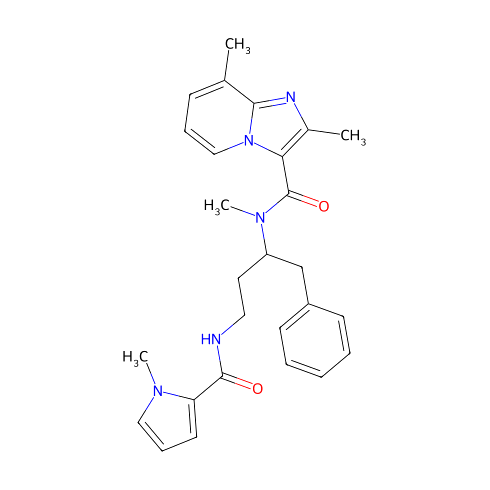 Cc1nc2c(C)cccn2c1C(=O)N(C)C(CCNC(=O)c1cccn1C)Cc1ccccc1